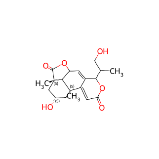 CC(CO)C1OC(=O)C=C2C1=CC1OC(=O)[C@@]3(C)C[C@@H](O)C[C@@]2(C)C13